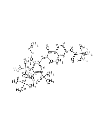 CCCOc1c(C=C(OC)C(=O)c2ccc(OC(=O)C(C)(C)C)cc2)cc(C(C)(C)C)c(OC(=O)C(C)(C)C)c1C(C)(C)C